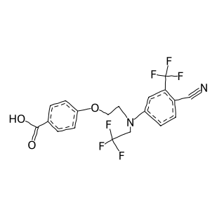 N#Cc1ccc(N(CCOc2ccc(C(=O)O)cc2)CC(F)(F)F)cc1C(F)(F)F